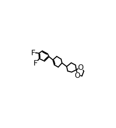 Fc1ccc(C2=CCC(C3CCC4(CC3)OCCO4)CC2)cc1F